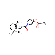 CC(=O)O[C@@H]1CCN(C(=O)/C=C/C2=C(C)CCCC2(C)C)C1